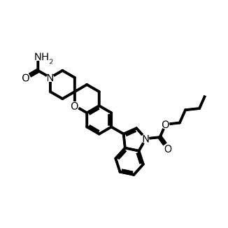 CCCCOC(=O)n1cc(-c2ccc3c(c2)CCC2(CCN(C(N)=O)CC2)O3)c2ccccc21